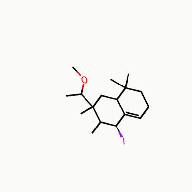 COC(C)C1(C)CC2C(=CCCC2(C)C)[C@@H](I)C1C